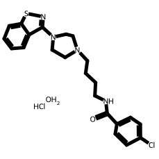 Cl.O.O=C(NCCCCN1CCN(c2nsc3ccccc23)CC1)c1ccc(Cl)cc1